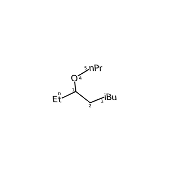 [CH2]CC(CC(C)CC)OCCC